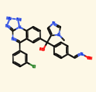 Cn1cncc1C(O)(c1ccc(/C=N/O)cc1)c1ccc2c(c1)C(c1cccc(Cl)c1)=NC1=NNNN12